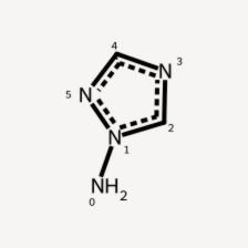 Nn1cn[c]n1